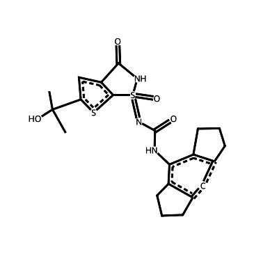 CC(C)(O)c1cc2c(s1)S(=O)(=NC(=O)Nc1c3c(cc4c1CCC4)CCC3)NC2=O